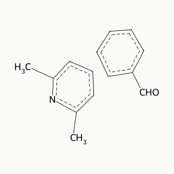 Cc1cccc(C)n1.O=Cc1ccccc1